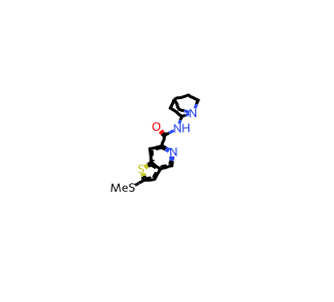 CSc1cc2cnc(C(=O)NC3CC4CCN3C4)cc2s1